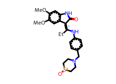 CC/C(Nc1ccc(CN2CC[S+]([O-])CC2)cc1)=C1/C(=O)Nc2cc(OC)c(OC)cc21